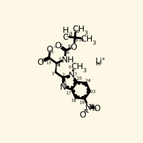 Cn1c(C[C@H](NC(=O)OC(C)(C)C)C(=O)[O-])nc2cc([N+](=O)[O-])ccc21.[Li+]